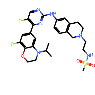 CC(C)N1CCOc2c(F)cc(-c3nc(Nc4ccc5c(c4)CCN(CCNS(C)(=O)=O)C5)ncc3F)cc21